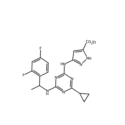 CCOC(=O)c1cc(Nc2nc(NC(C)c3ccc(F)cc3F)nc(C3CC3)n2)n[nH]1